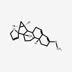 COC1=CC2=CCC3C(CC[C@@]4(C)C3[C@@H]3C[C@@H]3[C@@]43C=CCO3)[C@H]2CC1